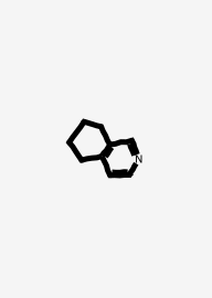 [c]1cc2c(cn1)CCCC2